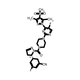 Cc1nn(-c2nc(N3CCN(C(=O)N4N=CC[C@H]4C4C=C(F)C=C(C#N)C4)CC3)ncc2F)c(C)c1S(C)(=O)=O